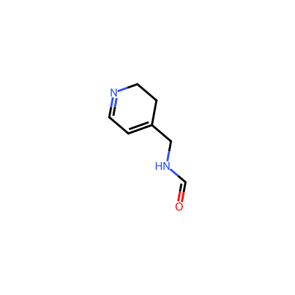 O=CNCC1=CC=NCC1